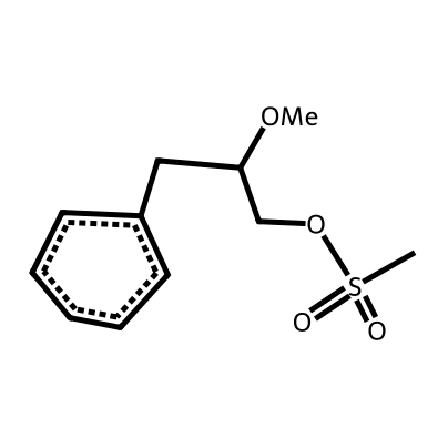 COC(COS(C)(=O)=O)Cc1ccccc1